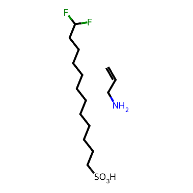 C=CCN.O=S(=O)(O)CCCCCCCCCCCC(F)F